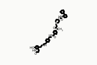 CN(C(=O)CCN1CCC(OC(=O)Nc2ccccc2-c2ccccc2)CC1)c1ccc(C(=O)NCCc2ccc(CCNCCc3ccc(O)c4[nH]c(=O)ccc34)cc2)cc1